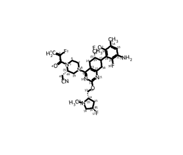 C=C(F)C(=O)N1CCN(c2nc(OC[C@@H]3C[C@@H](F)CN3C)nc3c2C[C@H](C)C(c2c(F)c(N)cc(C)c2C(F)(F)F)C3)C[C@@H]1CC#N